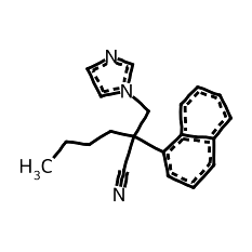 CCCCC(C#N)(Cn1ccnc1)c1cccc2ccccc12